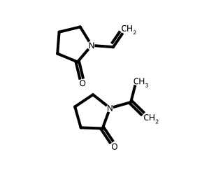 C=C(C)N1CCCC1=O.C=CN1CCCC1=O